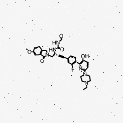 CCN1CCN(c2ccc(O)c(-c3ccc(C#C[C@H](CN4Cc5ccc(OC)cc5C4=O)NC(=O)NC=O)cc3F)n2)CC1